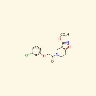 O=C(O)Oc1noc2c1CN(C(=O)COc1cccc(Cl)c1)CC2